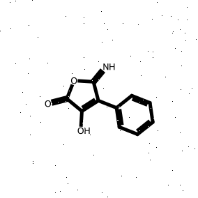 N=C1OC(=O)C(O)=C1c1ccccc1